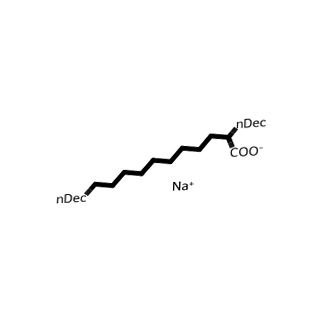 CCCCCCCCCCCCCCCCCCCC(CCCCCCCCCC)C(=O)[O-].[Na+]